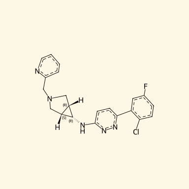 Fc1ccc(Cl)c(-c2ccc(N[C@@H]3[C@@H]4CN(Cc5ccccn5)C[C@@H]43)nn2)c1